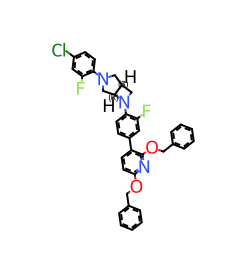 Fc1cc(Cl)ccc1N1C[C@H]2CN(c3ccc(-c4ccc(OCc5ccccc5)nc4OCc4ccccc4)cc3F)[C@H]2C1